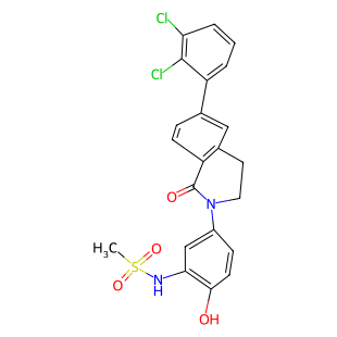 CS(=O)(=O)Nc1cc(N2CCc3cc(-c4cccc(Cl)c4Cl)ccc3C2=O)ccc1O